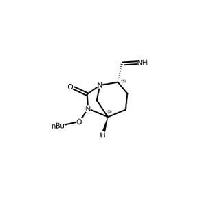 CCCCON1C(=O)N2C[C@@H]1CC[C@H]2C=N